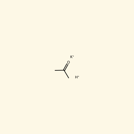 CC(C)=O.[H+].[K+]